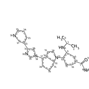 CC(C)Nc1cc(C(N)=O)ccc1-n1ccc2c(-n3cnc(-c4cccnc4)c3)cccc21